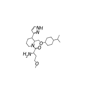 COCCC(N)C(=O)N1CCCC(c2cc[nH]n2)C1COC1CCC(C(C)C)CC1